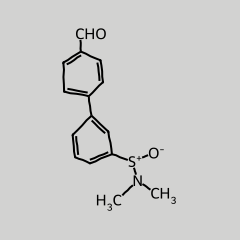 CN(C)[S+]([O-])c1cccc(-c2ccc(C=O)cc2)c1